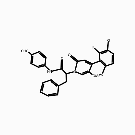 COc1cn(C(Cc2ccccc2)C(=O)Nc2ccc(C=O)cc2)c(=O)cc1-c1c(C(C)=O)ccc(Cl)c1F